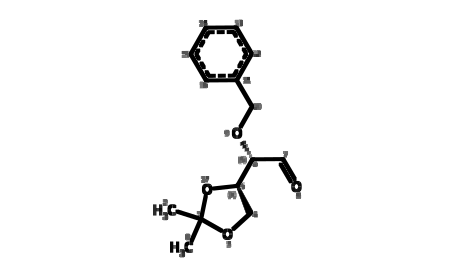 CC1(C)OC[C@H]([C@@H](C=O)OCc2ccccc2)O1